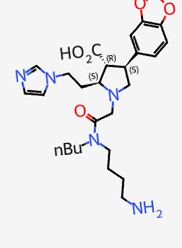 CCCCN(CCCCN)C(=O)CN1C[C@H](c2ccc3c(c2)OCO3)[C@@H](C(=O)O)[C@@H]1CCn1ccnc1